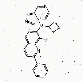 Fc1c(N(C2CCC2)[N+]23C=CN=CC2=CN=C3)ccc2ccc(-c3ccccc3)nc12